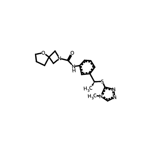 C[C@H](Sc1nncn1C)c1cccc(NC(=O)N2CC3(CCCO3)C2)c1